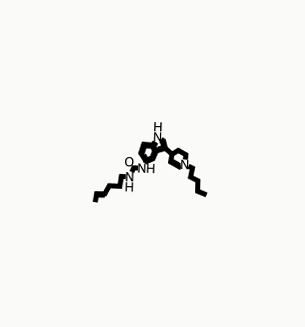 CC=CCCCNC(=O)Nc1ccc2[nH]cc(C3C=CN(CCCCC)CC3)c2c1